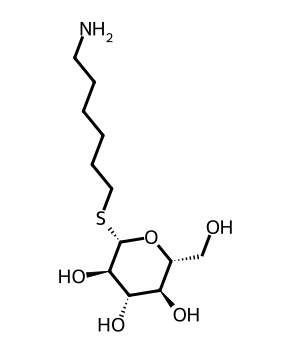 NCCCCCCS[C@@H]1O[C@H](CO)[C@@H](O)[C@H](O)[C@H]1O